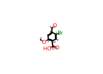 COc1cc(C=O)c(Br)cc1C(=O)O